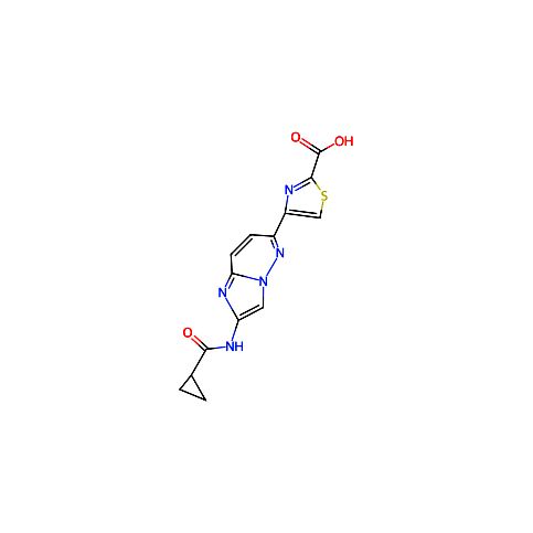 O=C(O)c1nc(-c2ccc3nc(NC(=O)C4CC4)cn3n2)cs1